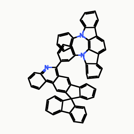 c1ccc(-n2c3ccccc3c3ccc4c5ccccc5n(-c5cccc(-c6nc7ccccc7c7cc8c(cc67)-c6ccccc6C86c7ccccc7-c7ccccc76)c5)c4c32)cc1